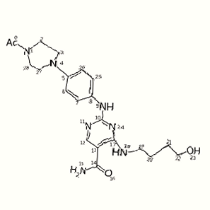 CC(=O)N1CCN(c2ccc(Nc3ncc(C(N)=O)c(NCCCCO)n3)cc2)CC1